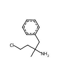 CC(N)(CCCl)Cc1ccccc1